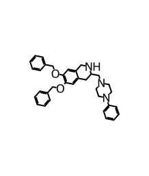 c1ccc(COc2cc3c(cc2OCc2ccccc2)CC(CN2CCN(c4ccccc4)CC2)NC3)cc1